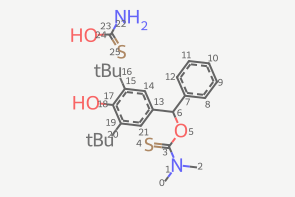 CN(C)C(=S)OC(c1ccccc1)c1cc(C(C)(C)C)c(O)c(C(C)(C)C)c1.NC(O)=S